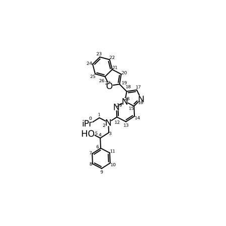 CC(C)CN(CC(O)c1ccccc1)c1ccc2ncc(-c3cc4ccccc4o3)n2n1